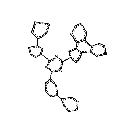 c1ccc(-c2cccc(-c3nc(-c4cccc(-c5ccccc5)c4)nc(-c4ccc5c6ccccc6c6cccnc6c5n4)n3)c2)cc1